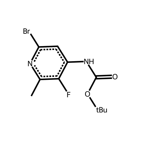 Cc1nc(Br)cc(NC(=O)OC(C)(C)C)c1F